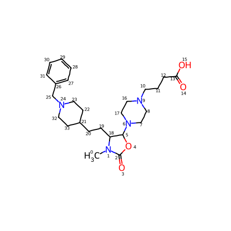 CN1C(=O)OC(N2CCN(CCCC(=O)O)CC2)C1CCC1CCN(Cc2ccccc2)CC1